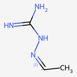 C/[C]=N\NC(=N)N